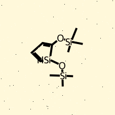 C[Si](C)(C)OC1=CC=C[SiH]1O[Si](C)(C)C